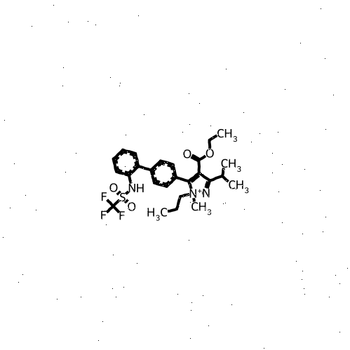 CCC[N+]1(C)N=C(C(C)C)C(C(=O)OCC)=C1c1ccc(-c2ccccc2NS(=O)(=O)C(F)(F)F)cc1